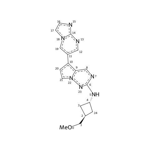 COC[C@H]1C[C@H](Nc2ncc3c(-c4cnc5nccn5c4)ccn3n2)C1